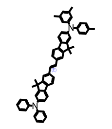 Cc1ccc(N(c2cc(C)cc(C)c2)c2ccc3c(c2)C(C)(C)c2cc(/C=C/c4ccc5c(c4)C(C)(C)c4cc(N(c6ccccc6)c6ccccc6)ccc4-5)ccc2-3)cc1